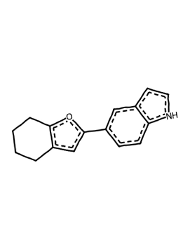 c1cc2cc(-c3cc4c(o3)CCCC4)ccc2[nH]1